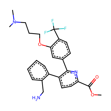 COC(=O)c1ccc(-c2ccccc2CN)c(-c2ccc(C(F)(F)F)c(OCCCN(C)C)c2)n1